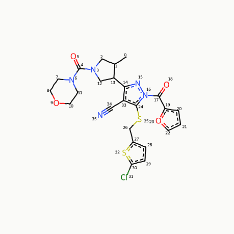 CC1CN(C(=O)N2CCOCC2)CC1c1nn(C(=O)c2ccco2)c(SCc2ccc(Cl)s2)c1C#N